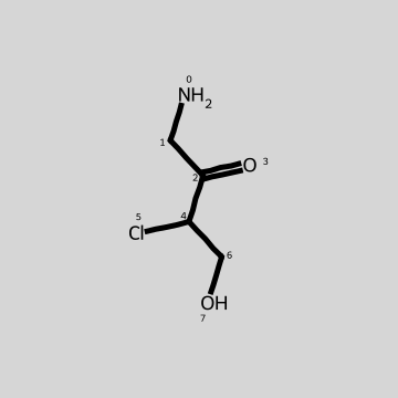 NCC(=O)C(Cl)CO